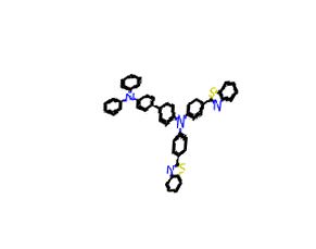 c1ccc(N(c2ccccc2)c2ccc(-c3ccc(N(c4ccc(-c5nc6ccccc6s5)cc4)c4ccc(-c5nc6ccccc6s5)cc4)cc3)cc2)cc1